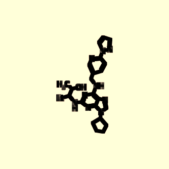 CCC(Nc1nc(NCc2ccc(-n3cccn3)nc2)c2ncn(C3CCCC3)c2n1)[C@@H](C)O